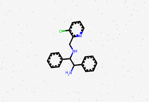 NC(c1ccccc1)C(NCc1ncccc1Cl)c1ccccc1